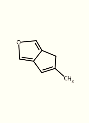 CC1=Cc2cocc2C1